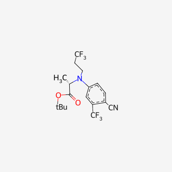 C[C@@H](C(=O)OC(C)(C)C)N(CCC(F)(F)F)c1ccc(C#N)c(C(F)(F)F)c1